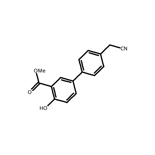 COC(=O)c1cc(-c2ccc(CC#N)cc2)ccc1O